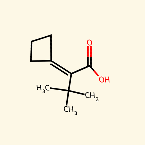 CC(C)(C)C(C(=O)O)=C1CCC1